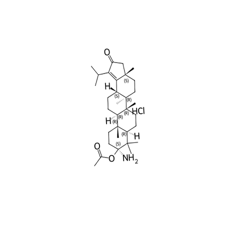 CC(=O)O[C@@]1(N)CC[C@]2(C)[C@H]3CC[C@@H]4C5=C(C(C)C)C(=O)C[C@]5(C)CC[C@@]4(C)[C@]3(C)CC[C@H]2C1(C)C.Cl